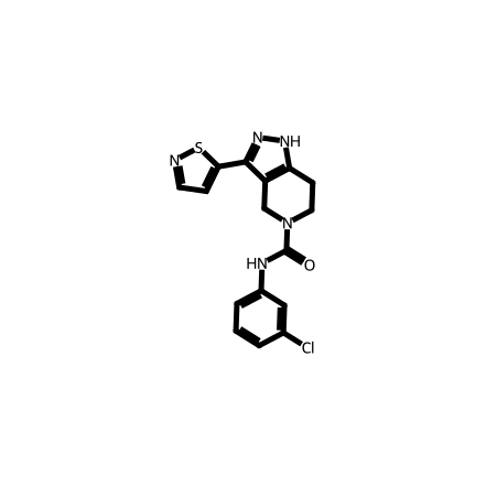 O=C(Nc1cccc(Cl)c1)N1CCc2[nH]nc(-c3ccns3)c2C1